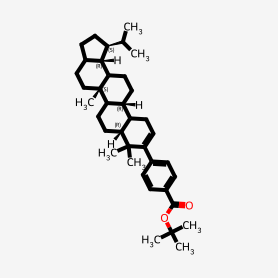 CC(C)[C@@H]1CCC2CC[C@@]3(C)C4CC[C@@H]5C(CC=C(c6ccc(C(=O)OC(C)(C)C)cc6)C5(C)C)[C@H]4CCC3[C@H]21